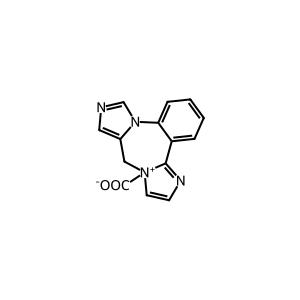 O=C([O-])[N+]12C=CN=C1c1ccccc1-n1cncc1C2